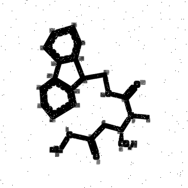 CCCCOC(=O)C[C@@H](C(=O)O)N(C)C(=O)OCC1c2ccccc2-c2ccccc21